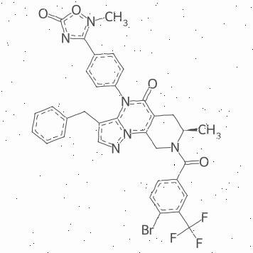 C[C@@H]1Cc2c(n3ncc(Cc4ccccc4)c3n(-c3ccc(-c4nc(=O)on4C)cc3)c2=O)CN1C(=O)c1ccc(Br)c(C(F)(F)F)c1